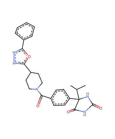 CC(C)C1(c2ccc(C(=O)N3CCC(c4nnc(-c5ccccc5)o4)CC3)cc2)NC(=O)NC1=O